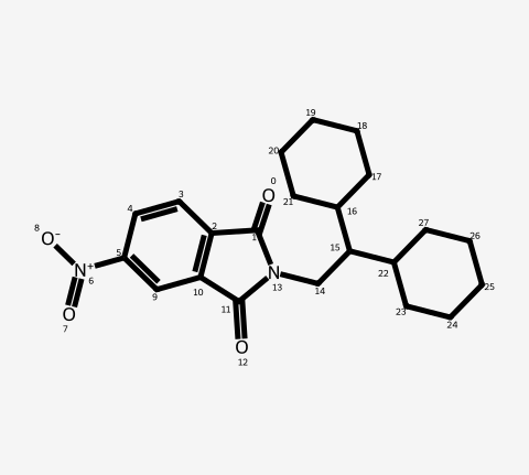 O=C1c2ccc([N+](=O)[O-])cc2C(=O)N1CC(C1CCCCC1)C1CCCCC1